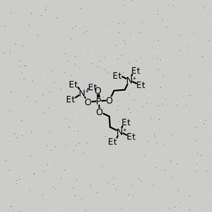 CC[N+](CC)(CC)CCOP(=O)(OCC[N+](CC)(CC)CC)O[N+](CC)(CC)CC